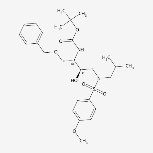 COc1ccc(S(=O)(=O)N(CC(C)C)C[C@@H](O)[C@H](COCc2ccccc2)NC(=O)OC(C)(C)C)cc1